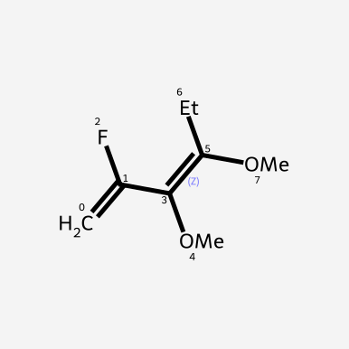 C=C(F)/C(OC)=C(\CC)OC